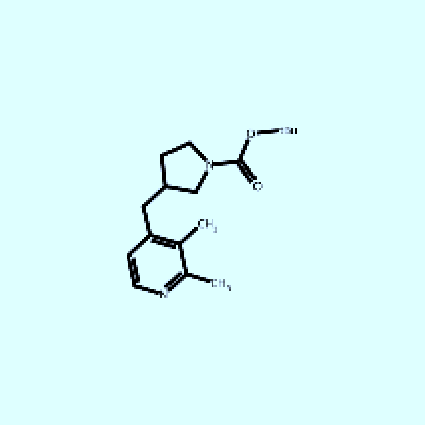 Cc1nccc(CC2CCN(C(=O)OC(C)(C)C)C2)c1C